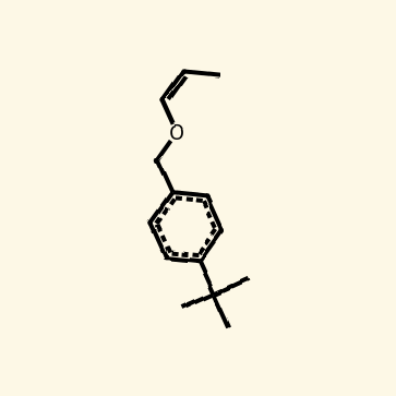 C/C=C\OCc1ccc(C(C)(C)C)cc1